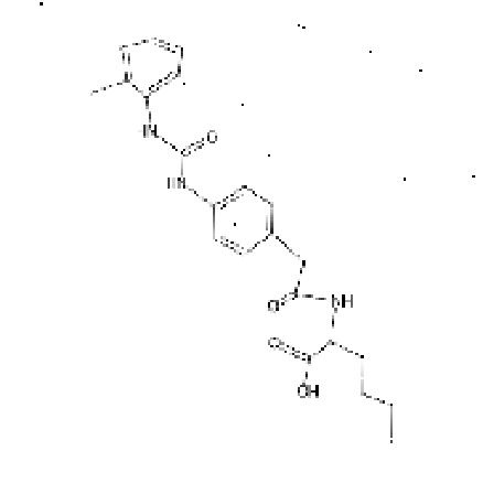 CCCCC(NC(=O)Cc1ccc(NC(=O)Nc2ccccc2C)cc1)C(=O)O